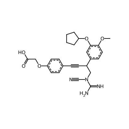 COc1ccc(C(C#Cc2ccc(OCC(=O)O)cc2)CN(C#N)C(=N)N)cc1OC1CCCC1